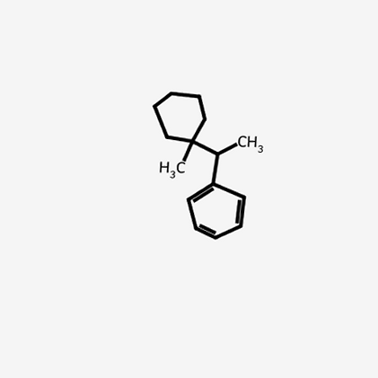 CC(c1ccccc1)C1(C)CCCCC1